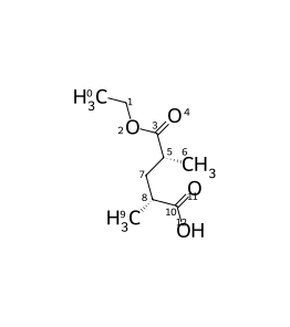 CCOC(=O)[C@H](C)C[C@@H](C)C(=O)O